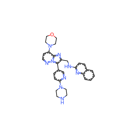 c1ccc2nc(NCc3nc4c(N5CCOCC5)ccnn4c3-c3ccc(N4CCNCC4)nc3)ccc2c1